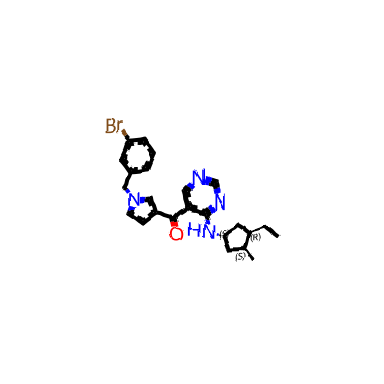 CC[C@@H]1C[C@@H](Nc2ncncc2C(=O)c2ccn(Cc3cccc(Br)c3)c2)C[C@@H]1C